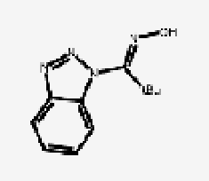 CC(C)(C)/C(=N\O)n1nnc2ccccc21